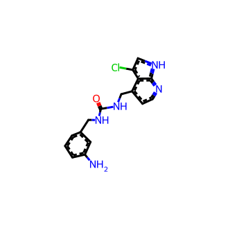 Nc1cccc(CNC(=O)NCc2ccnc3[nH]cc(Cl)c23)c1